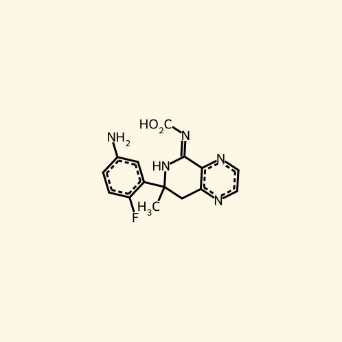 CC1(c2cc(N)ccc2F)Cc2nccnc2C(=NC(=O)O)N1